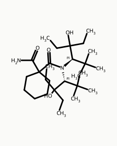 CCC(O)(CC)[C@H](N(C(=O)C1(C(N)=O)CCCCC1)[C@H](C(C)(C)C)C(O)(CC)CC)C(C)(C)C